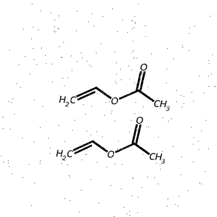 C=COC(C)=O.C=COC(C)=O